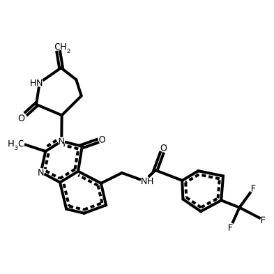 C=C1CCC(n2c(C)nc3cccc(CNC(=O)c4ccc(C(F)(F)F)cc4)c3c2=O)C(=O)N1